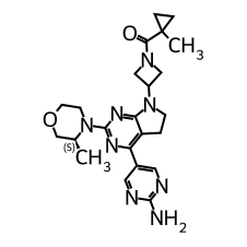 C[C@H]1COCCN1c1nc(-c2cnc(N)nc2)c2c(n1)N(C1CN(C(=O)C3(C)CC3)C1)CC2